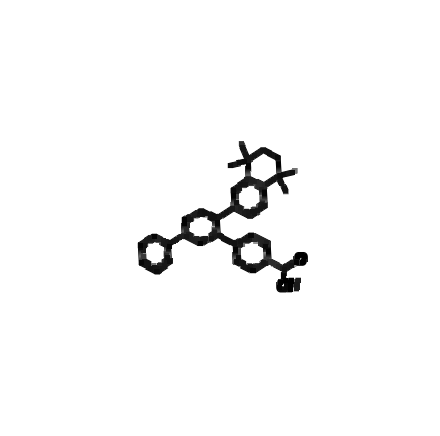 CC1(C)CCC(C)(C)c2cc(-c3ccc(-c4ccccc4)cc3-c3ccc(C(=O)O)cc3)ccc21